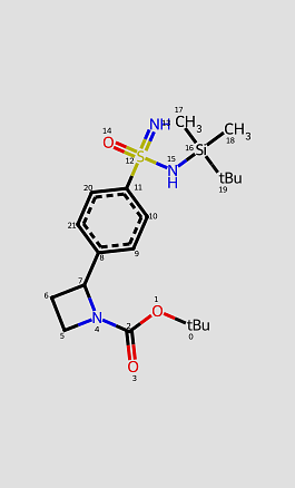 CC(C)(C)OC(=O)N1CCC1c1ccc(S(=N)(=O)N[Si](C)(C)C(C)(C)C)cc1